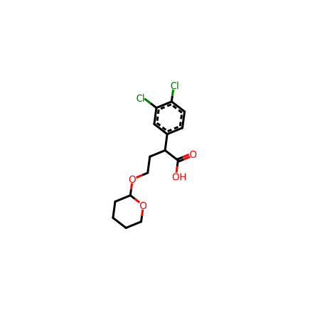 O=C(O)C(CCOC1CCCCO1)c1ccc(Cl)c(Cl)c1